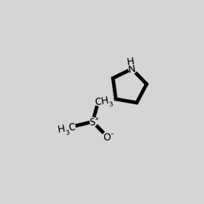 C1CCNC1.C[S+](C)[O-]